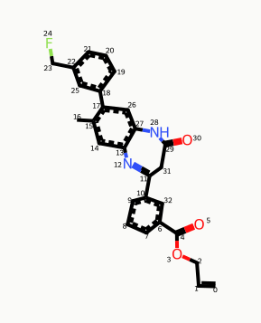 C=CCOC(=O)c1cccc(C2=Nc3cc(C)c(-c4cccc(CF)c4)cc3NC(=O)C2)c1